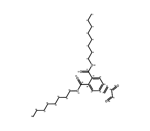 C=C.CCCCCCCCOC(=O)c1ccccc1C(=O)OCCCCCCCC.O=CC=O